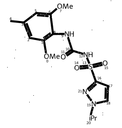 COc1cc(C)cc(OC)c1NC(=O)NS(=O)(=O)c1ccn(C(C)C)n1